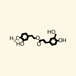 Cc1ccc(CCOC(=O)/C=C/c2ccc(O)c(CO)c2)cc1O